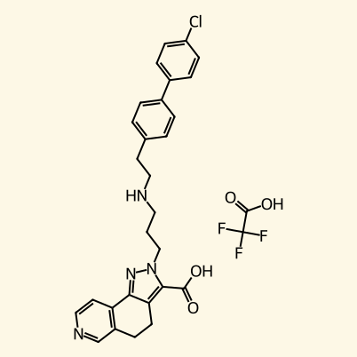 O=C(O)C(F)(F)F.O=C(O)c1c2c(nn1CCCNCCc1ccc(-c3ccc(Cl)cc3)cc1)-c1ccncc1CC2